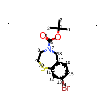 CC(C)(C)OC(=O)N1CCSc2cc(Br)ccc2C1